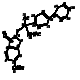 COc1ccc2c(c1)CN(CC(NC(C)=O)(C(C)=O)c1ccc(C3C=CN=CC3)cc1)C2=O